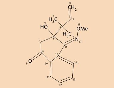 C=CC(C)(C)C1(O)CC(=O)c2ccccc2C1=NOC